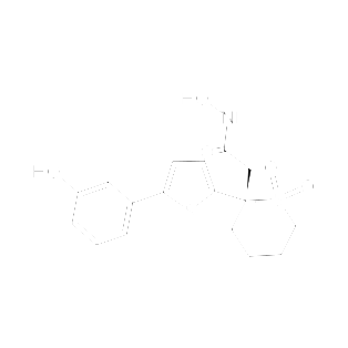 O=C(C[C@]1(c2ccc(-c3cccc(O)c3)s2)CCCCS1(=O)=O)NO